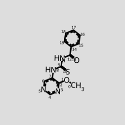 COc1ncncc1NC(=S)NC(=O)c1ccccc1